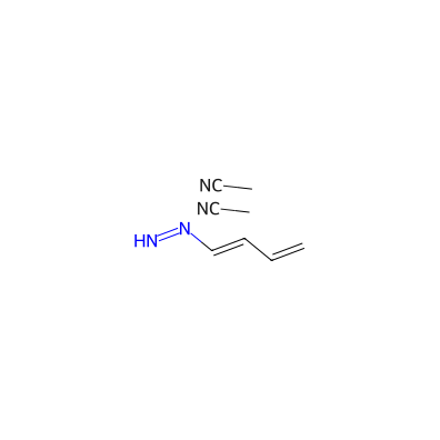 C=CC=CN=N.CC#N.CC#N